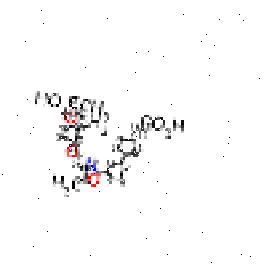 Cc1oc(-c2cccc(-c3ccc(CCC(=O)O)cc3)c2)nc1CCOc1ccc(OC(C)(C)C(=O)O)cc1